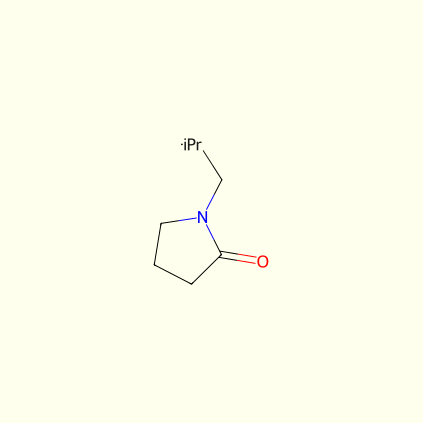 C[C](C)CN1CCCC1=O